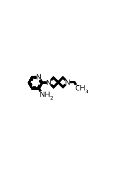 CCN1CC2(C1)CN(c1ncccc1N)C2